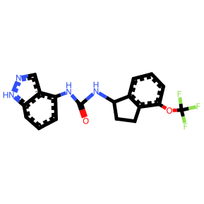 O=C(Nc1cccc2[nH]ncc12)NC1CCc2c(OC(F)(F)F)cccc21